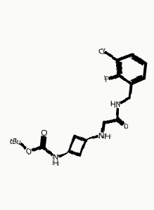 CC(C)(C)OC(=O)N[C@H]1C[C@@H](NCC(=O)NCc2cccc(Cl)c2F)C1